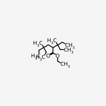 CCOC(=O)C(CC(C)(CC)CC)C(C)(CC)CC